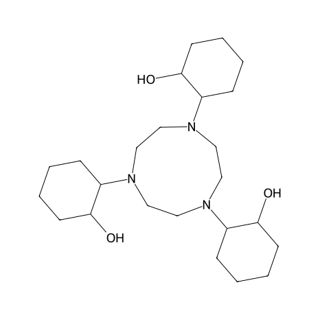 OC1CCCCC1N1CCN(C2CCCCC2O)CCN(C2CCCCC2O)CC1